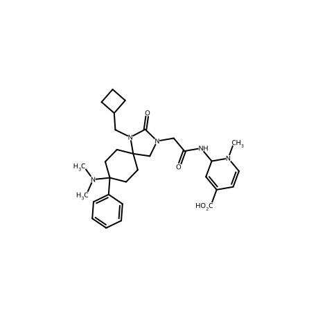 CN1C=CC(C(=O)O)=CC1NC(=O)CN1CC2(CCC(c3ccccc3)(N(C)C)CC2)N(CC2CCC2)C1=O